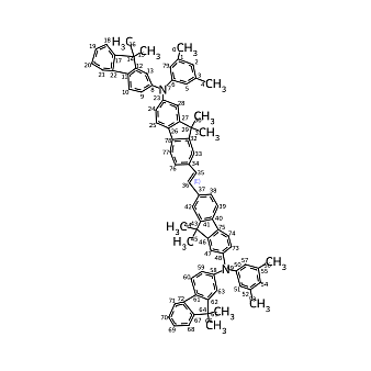 Cc1cc(C)cc(N(c2ccc3c(c2)C(C)(C)c2ccccc2-3)c2ccc3c(c2)C(C)(C)c2cc(/C=C/c4ccc5c(c4)C(C)(C)c4cc(N(c6cc(C)cc(C)c6)c6ccc7c(c6)C(C)(C)c6ccccc6-7)ccc4-5)ccc2-3)c1